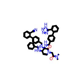 CN(C)C(=O)CN1C=CC(NCc2ccccc2)C(NCc2ccc(-c3ccccc3C#N)cc2)(NCc2ccc(-c3ccccc3-c3nnn[nH]3)cc2)C1=O